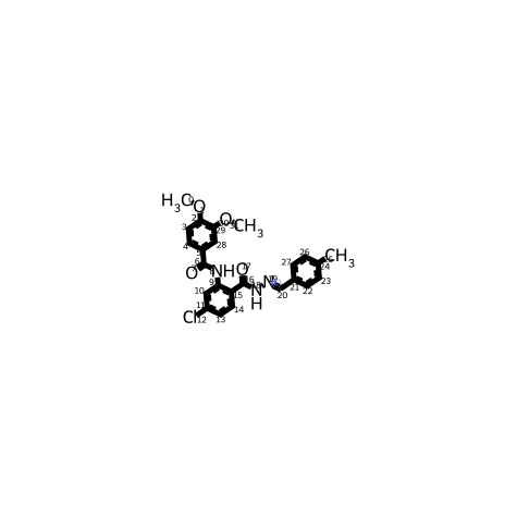 COc1ccc(C(=O)Nc2cc(Cl)ccc2C(=O)N/N=C/c2ccc(C)cc2)cc1OC